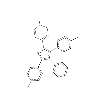 Cc1ccc(-c2sc(C3=CCC(C)C=C3)c(-c3ccc(C)cc3)c2-c2ccc(C)cc2)cc1